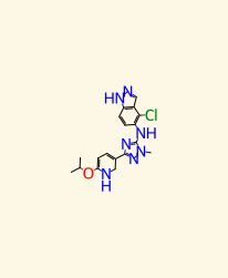 CC(C)OC1=CC=C(c2nc(Nc3ccc4[nH]ncc4c3Cl)n(C)n2)CN1